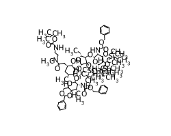 CC[C@@H]1O[C@H](O[C@H]2[C@@H](O[Si](C)(C)C(C)(C)C)[C@H](O[C@@H]3[C@@H](O)[C@H](CC(=O)N(C)CCNC(=O)OC(C)(C)C)C[C@H](C)[C@H]3O[C@H]3O[C@@H]4COC(c5ccccc5)O[C@H]4[C@H](C)[C@H]3NC(=O)OCc3ccccc3)O[C@@H]2CC)[C@H](NC(=O)OCc2ccccc2)[C@@H](O[Si](C)(C)C(C)(C)C)[C@@H]1O[Si](C)(C)C(C)(C)C